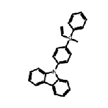 C=C[Si](C)(c1ccccc1)c1ccc(-n2c3ccccc3c3ccccc32)cc1